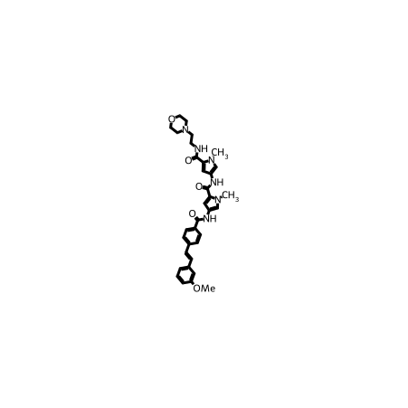 COc1cccc(/C=C/c2ccc(C(=O)Nc3cc(C(=O)Nc4cc(C(=O)NCCN5CCOCC5)n(C)c4)n(C)c3)cc2)c1